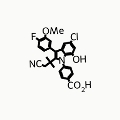 COc1cc(-c2c(C(C)(C)CC#N)n(-c3ccc(C(=O)O)cc3)c3c(O)cc(Cl)cc23)ccc1F